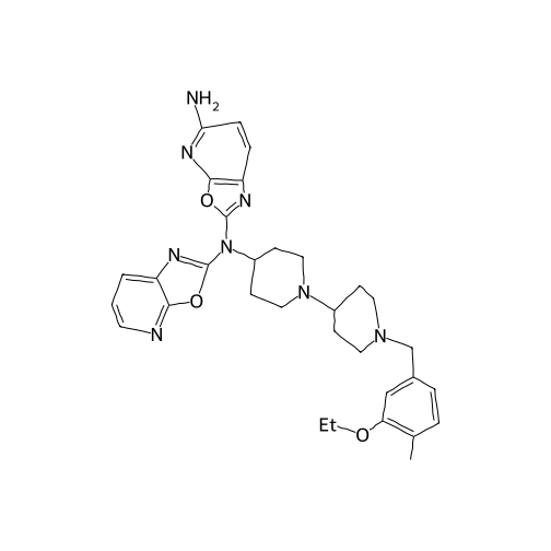 CCOc1cc(CN2CCC(N3CCC(N(c4nc5cccnc5o4)c4nc5ccc(N)nc5o4)CC3)CC2)ccc1C